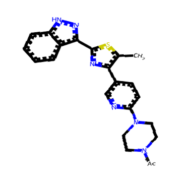 CC(=O)N1CCN(c2ccc(-c3nc(-c4n[nH]c5ccccc45)sc3C)cn2)CC1